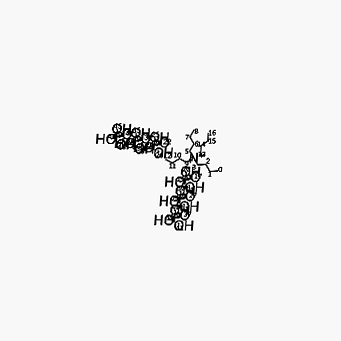 CCCC[N+](CCCC)(CCCC)CCCC.O=P(O)(O)O.O=P(O)(O)O.O=P(O)(O)O.O=P(O)(O)O.O=P(O)(O)O.O=P(O)(O)O